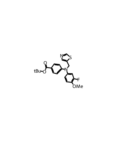 COc1ccc(N(Cc2cncs2)c2ccc(C(=O)OC(C)(C)C)cc2)cc1F